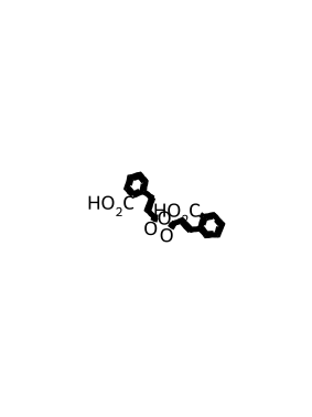 O=C(C=Cc1ccccc1C(=O)O)OC(=O)C=Cc1ccccc1C(=O)O